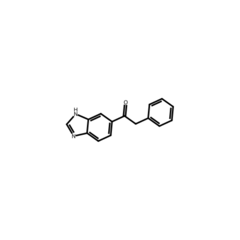 O=C(Cc1ccccc1)c1ccc2nc[nH]c2c1